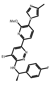 CCc1cc(-c2ccc(-n3cnc(C)c3)c(OC)n2)nnc1N[C@H](C)c1ccc(F)cc1